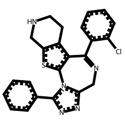 Clc1ccccc1C1=NCc2nnc(-c3ccccc3)n2-c2sc3c(c21)CCNC3